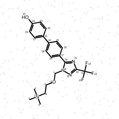 C[Si](C)(C)CCOCn1nc(C(F)(F)F)nc1-c1ccc(-c2ccc(O)cc2)cc1